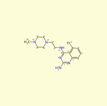 CCc1cccc2nc(N)nc(NCCN3CCN(C)CC3)c12